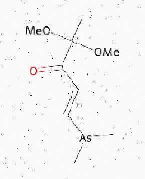 COC(C)(OC)C(=O)/C=C/[As](C)C